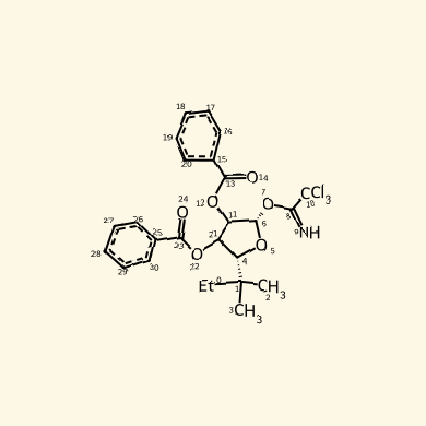 CCC(C)(C)[C@H]1O[C@@H](OC(=N)C(Cl)(Cl)Cl)C(OC(=O)c2ccccc2)C1OC(=O)c1ccccc1